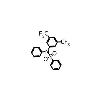 O=S(=O)(c1ccccc1)N(c1ccccc1)c1cc(C(F)(F)F)cc(C(F)(F)F)c1